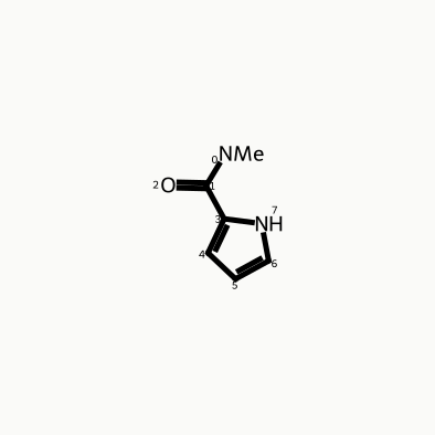 CNC(=O)c1ccc[nH]1